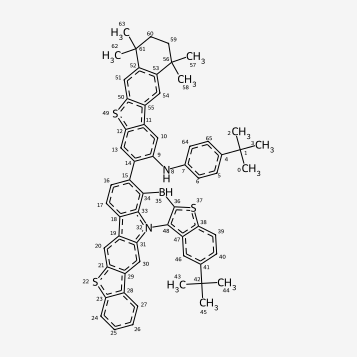 CC(C)(C)c1ccc(Nc2cc3c(cc2-c2ccc4c5cc6sc7ccccc7c6cc5n5c4c2Bc2sc4ccc(C(C)(C)C)cc4c2-5)sc2cc4c(cc23)C(C)(C)CCC4(C)C)cc1